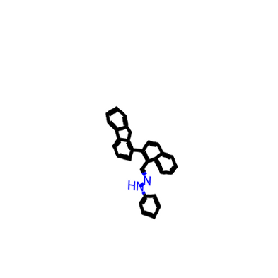 C(=NNc1ccccc1)c1c(-c2cccc3c2Cc2ccccc2-3)ccc2ccccc12